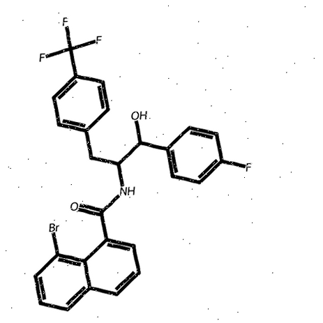 O=C(NC(Cc1ccc(C(F)(F)F)cc1)C(O)c1ccc(F)cc1)c1cccc2cccc(Br)c12